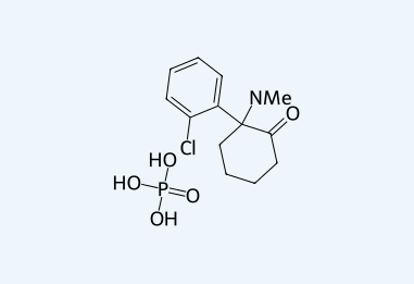 CNC1(c2ccccc2Cl)CCCCC1=O.O=P(O)(O)O